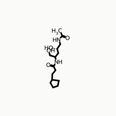 CC(=O)NC[C@@H](O)CC(CO)NC(=O)CCC1CCCC1